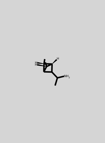 CC(N)C1C2[C@H](C)[C@H]1[C@H]2C